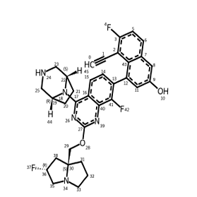 C#Cc1c(F)ccc2cc(O)cc(-c3ccc4c(N5[C@@H]6CC[C@H]5CNC6)nc(OC[C@@]56CCCN5C[C@H](F)C6)nc4c3F)c12